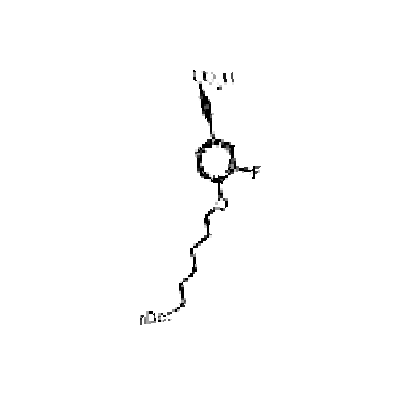 CCCCCCCCCCCCCCCCOc1ccc(C#CC(=O)O)cc1F